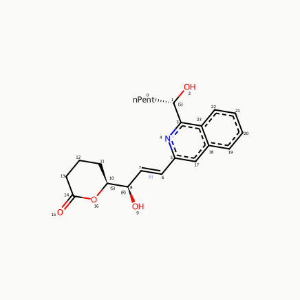 CCCCC[C@H](O)c1nc(/C=C/[C@@H](O)[C@@H]2CCCC(=O)O2)cc2ccccc12